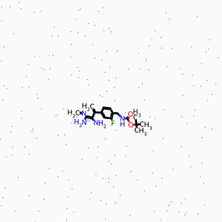 C=N/C(N)=C(/N)C(=C)c1ccc(CNC(=O)OC(C)(C)C)c(F)c1